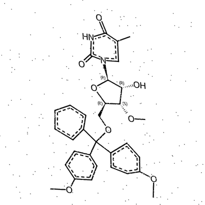 COc1ccc(C(OC[C@H]2O[C@@H](n3cc(C)c(=O)[nH]c3=O)[C@H](O)[C@@H]2OC)(c2ccccc2)c2ccc(OC)cc2)cc1